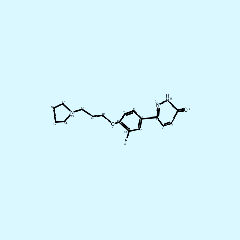 O=c1ccc(-c2ccc(OCCCN3CCCC3)c(F)c2)n[nH]1